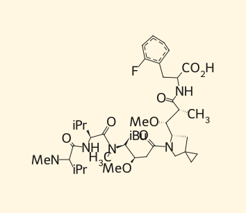 CC[C@H](C)[C@@H]([C@@H](CC(=O)N1CC2(CC2)C[C@H]1[C@H](OC)[C@@H](C)C(=O)NC(Cc1ccccc1F)C(=O)O)OC)N(C)C(=O)[C@@H](NC(=O)C(NC)C(C)C)C(C)C